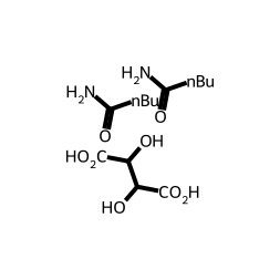 CCCCC(N)=O.CCCCC(N)=O.O=C(O)C(O)C(O)C(=O)O